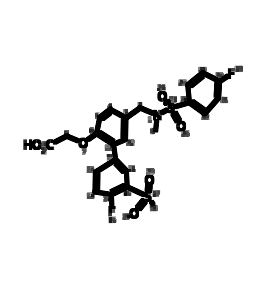 CN(Cc1ccc(OCC(=O)O)c(-c2ccc(F)c(S(C)(=O)=O)c2)c1)S(=O)(=O)c1ccc(F)cc1